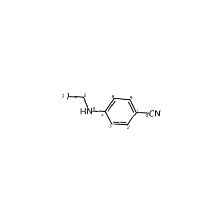 N#Cc1ccc(NCI)cc1